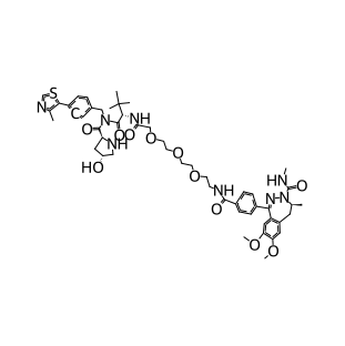 CNC(=O)N1N=C(c2ccc(C(=O)NCCOCCOCCOCC(=O)N[C@H](C(=O)N(Cc3ccc(-c4scnc4C)cc3)C(=O)[C@@H]3C[C@@H](O)CN3)C(C)(C)C)cc2)c2cc(OC)c(OC)cc2C[C@@H]1C